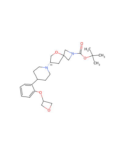 CC(C)(C)OC(=O)N1CC2(C[C@H](N3CCC(c4ccccc4OC4COC4)CC3)CO2)C1